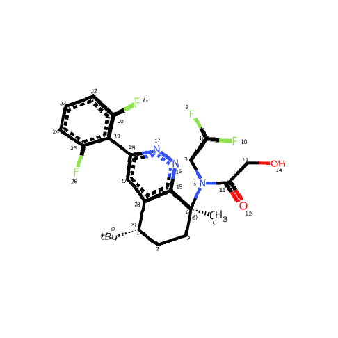 CC(C)(C)[C@H]1CC[C@](C)(N(CC(F)F)C(=O)CO)c2nnc(-c3c(F)cccc3F)cc21